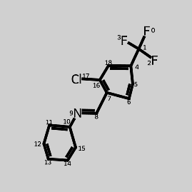 FC(F)(F)c1ccc(C=Nc2ccccc2)c(Cl)c1